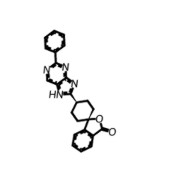 O=C1O[C@]2(CC[C@H](c3nc4nc(-c5ccccc5)ncc4[nH]3)CC2)c2ccccc21